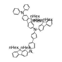 CCCCCCC1(CCCCCC)c2ccccc2-c2ccc(N(C)c3ccc(-c4ccc(N(c5ccc6c(c5)C(CCCCCC)(CCCCCC)c5ccccc5-6)c5ccc6c(c5)C(CCCCCC)(CCCCCC)c5cc(N(c7ccccc7)c7ccccc7)ccc5-6)cc4)cc3)cc21